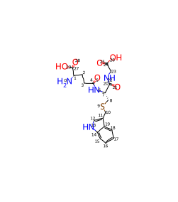 N[C@@H](CCC(=O)N[C@@H](CSCc1c[nH]c2ccccc12)C(=O)NCC(=O)O)C(=O)O